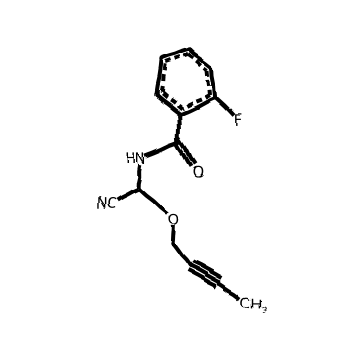 CC#CCOC(C#N)NC(=O)c1ccccc1F